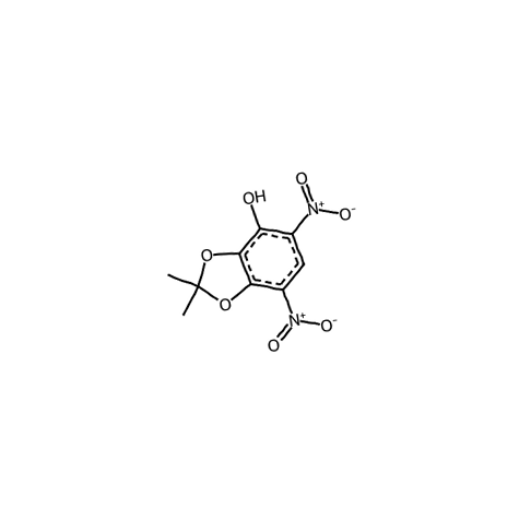 CC1(C)Oc2c([N+](=O)[O-])cc([N+](=O)[O-])c(O)c2O1